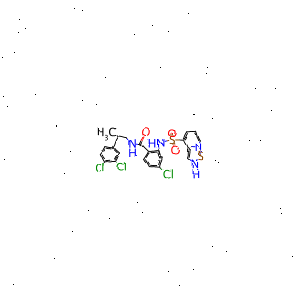 CC(CNC(=O)c1ccc(Cl)cc1NS(=O)(=O)C1=CC=CN2SNC=C12)c1ccc(Cl)c(Cl)c1